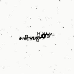 CC(=O)CC(=O)Cc1ccc(CNC(=O)COCCCOC(=O)CC(C)C)cc1